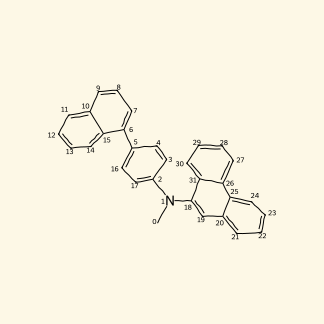 CN(c1ccc(-c2cccc3ccccc23)cc1)c1cc2ccccc2c2ccccc12